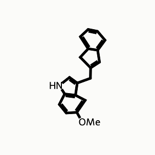 COc1ccc2[nH]cc(CC3=Cc4ccccc4C3)c2c1